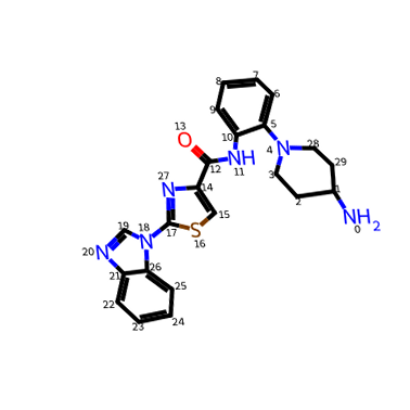 NC1CCN(c2ccccc2NC(=O)c2csc(-n3cnc4ccccc43)n2)CC1